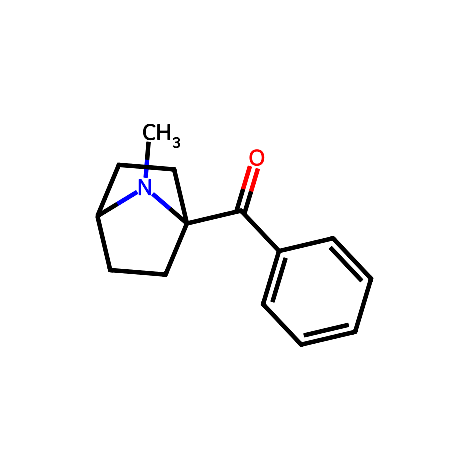 CN1C2CCC1(C(=O)c1ccccc1)CC2